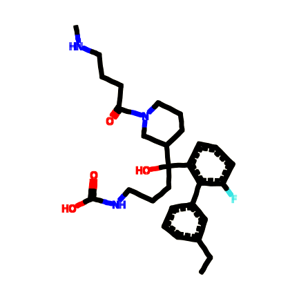 CCc1cccc(-c2c(F)cccc2C(O)(CCCNC(=O)O)C2CCCN(C(=O)CCCNC)C2)c1